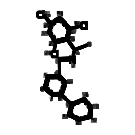 CC(N=Cc1cccc(-c2ccccc2)c1)c1c(Cl)cc(Cl)cc1Cl